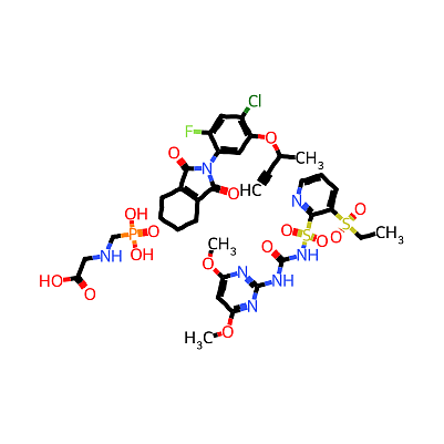 C#CC(C)Oc1cc(N2C(=O)C3=C(CCCC3)C2=O)c(F)cc1Cl.CCS(=O)(=O)c1cccnc1S(=O)(=O)NC(=O)Nc1nc(OC)cc(OC)n1.O=C(O)CNCP(=O)(O)O